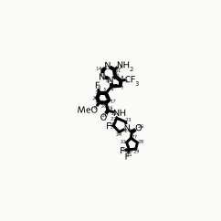 COc1cc(F)c(-c2cc(C(F)(F)F)c3c(N)ncnn23)cc1C(=O)N[C@@H]1CN(C(=O)C2CCC(F)(F)C2)C[C@@H]1F